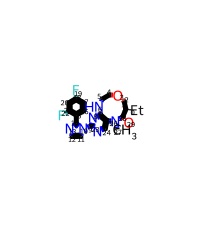 CC[C@H]1COCCNc2nc(-n3ccnc3-c3ccc(F)cc3F)ncc2N(C)C1=O